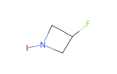 FC1CN(I)C1